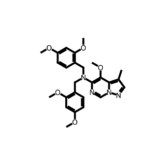 COc1ccc(CN(Cc2ccc(OC)cc2OC)c2ncn3ncc(C)c3c2OC)c(OC)c1